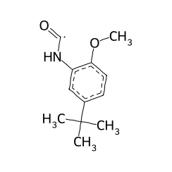 COc1ccc(C(C)(C)C)cc1N[C]=O